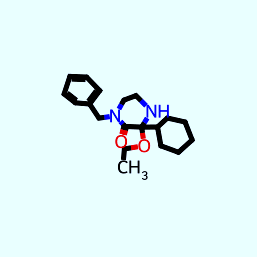 CCOC1(C2CCCCC2)NCCN(Cc2ccccc2)C1=O